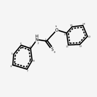 S=C(Nc1ccccc1)Oc1ccccc1